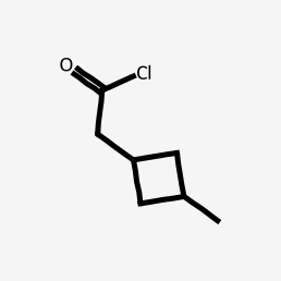 CC1CC(CC(=O)Cl)C1